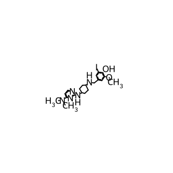 COc1cc(CNC2CCC(Nc3nccc(N(C)C)n3)CC2)cc(I)c1O